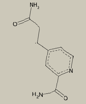 NC(=O)C[CH]c1ccnc(C(N)=O)c1